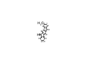 Cc1ccc2c(c1)-c1cc3[nH]c4ccccc4c3cc1C2